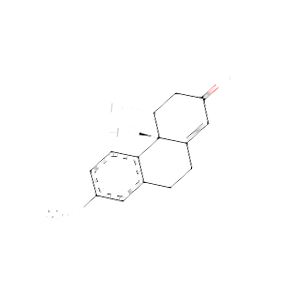 COc1ccc2c(c1)CCC1=CC(=O)C[C@@H](C)[C@]12C